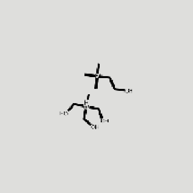 C[AsH](CO)(CO)CO.C[N+](C)(C)CCO